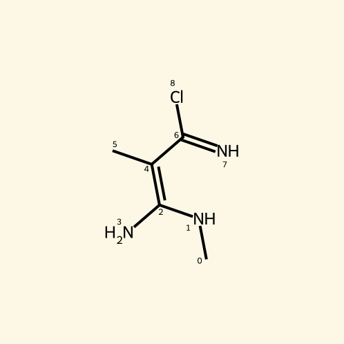 CN/C(N)=C(/C)C(=N)Cl